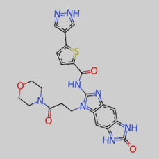 O=C(Nc1nc2cc3[nH]c(=O)[nH]c3cc2n1CCC(=O)N1CCOCC1)c1ccc(-c2cn[nH]c2)s1